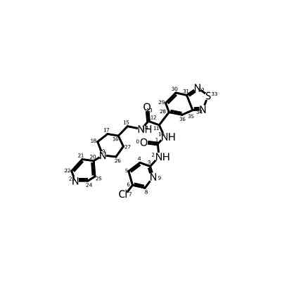 O=C(Nc1ccc(Cl)cn1)NC(C(=O)NCC1CCN(c2ccncc2)CC1)c1ccc2nsnc2c1